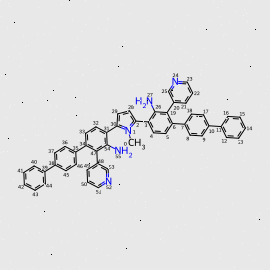 Cn1c(-c2ccc(-c3ccc(-c4ccccc4)cc3)c(-c3cccnc3)c2N)ccc1-c1ccc(-c2ccc(-c3ccccc3)cc2)c(-c2cccnc2)c1N